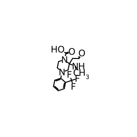 CNC1(CC=O)CN(c2ccccc2C(F)(F)F)CCN1C(=O)O